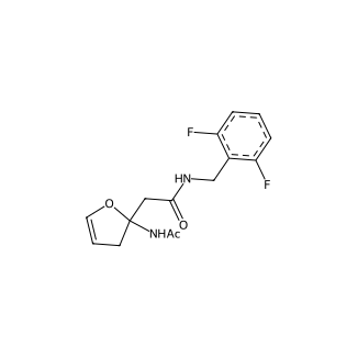 CC(=O)NC1(CC(=O)NCc2c(F)cccc2F)CC=CO1